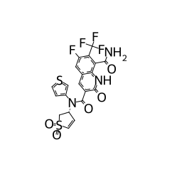 NC(=O)c1c(C(F)(F)F)c(F)cc2cc(C(=O)N(c3ccsc3)[C@@H]3C=CS(=O)(=O)C3)c(=O)[nH]c12